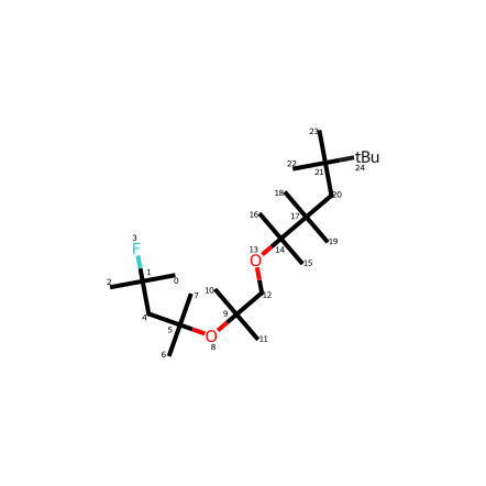 CC(C)(F)CC(C)(C)OC(C)(C)COC(C)(C)C(C)(C)CC(C)(C)C(C)(C)C